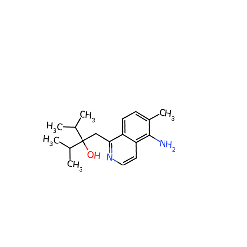 Cc1ccc2c(CC(O)(C(C)C)C(C)C)nccc2c1N